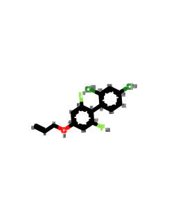 C=CCOc1cc(F)c(-c2ccc(Cl)[c]c2Cl)c(F)c1